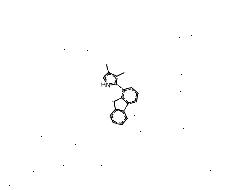 Cc1c[nH]c(-c2cccc3c2[CH]c2ccccc2-3)c1C